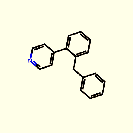 c1ccc(Cc2ccccc2-c2ccncc2)cc1